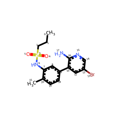 CCCS(=O)(=O)Nc1cc(-c2cc(Br)cnc2N)ccc1C